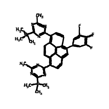 Cc1nc(-c2ccc3cc(-c4cc(F)c(F)c(F)c4)c4ccc(-c5nc(C)nc([Si](C)(C)C)n5)c5ccc2c3c45)nc([Si](C)(C)C)n1